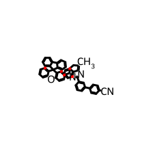 C\C1=C(c2ccccc2)/N=C(c2cccc(-c3ccc(C#N)cc3)c2)\N=C(\c2ccc3c(c2)C2(c4ccccc4O3)c3ccccc3-c3ccccc32)CC1